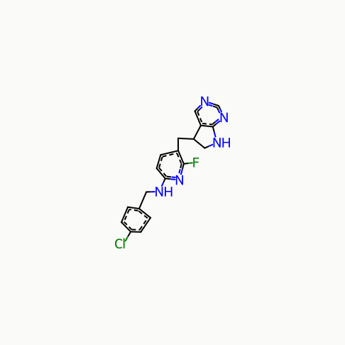 Fc1nc(NCc2ccc(Cl)cc2)ccc1CC1CNc2ncncc21